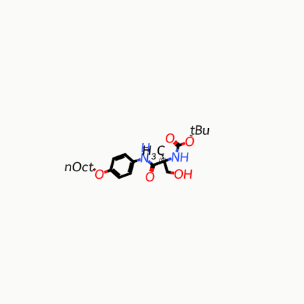 CCCCCCCCOc1ccc(NC(=O)[C@](C)(CO)NC(=O)OC(C)(C)C)cc1